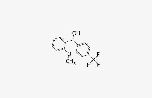 COc1ccccc1C(O)c1ccc(C(F)(F)F)cc1